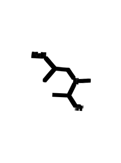 CNC(C)CN(C)C(C)C(C)C